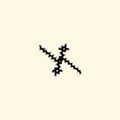 CCCCCCCCCCCCc1c(/C=C/c2cc(C)c(C)cc2C)sc2c(CCCCCCCCCCCC)c(/C=C/c3cc(C)c(C)cc3C)sc12